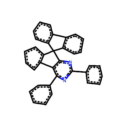 c1ccc(-c2nc(-c3ccccc3)c3c(n2)C2(c4ccccc4-c4ccccc42)c2ccccc2-3)cc1